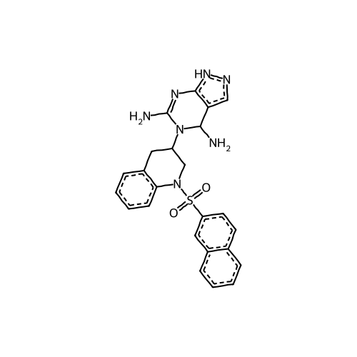 NC1=Nc2[nH]ncc2C(N)N1C1Cc2ccccc2N(S(=O)(=O)c2ccc3ccccc3c2)C1